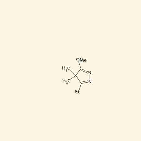 CCC1=NN=C(OC)C1(C)C